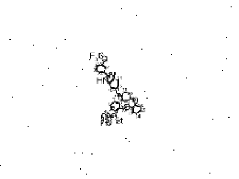 CCOP(=O)(Cc1cccc(COc2ccccc2OC2CCN(Cc3ccc4nc(-c5cccc(OC(F)(F)F)c5)[nH]c4c3)CC2)c1)OCC